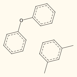 Cc1cccc(C)c1.c1ccc(Oc2ccccc2)cc1